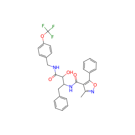 Cc1noc(-c2ccccc2)c1C(=O)NC(Cc1ccccc1)C(O)C(=O)NCc1ccc(OC(F)(F)F)cc1